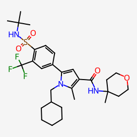 Cc1c(C(=O)NC2(C)CCOCC2)cc(-c2ccc(S(=O)(=O)NC(C)(C)C)c(C(F)(F)F)c2)n1CC1CCCCC1